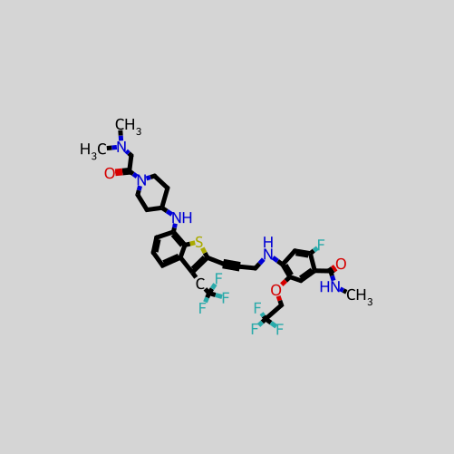 CNC(=O)c1cc(OCC(F)(F)F)c(NCC#Cc2sc3c(NC4CCN(C(=O)CN(C)C)CC4)cccc3c2CC(F)(F)F)cc1F